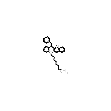 CCCCCCCCOc1ccccc1C(=Cc1ccccc1)c1ccc2ccccc2n1